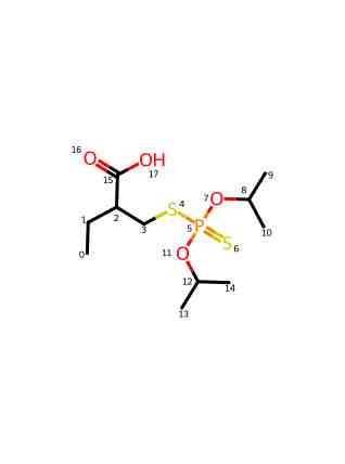 CCC(CSP(=S)(OC(C)C)OC(C)C)C(=O)O